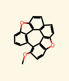 COc1ccc2oc3ccc4ccc5oc6cccc7c6c5c4c3c2c1-7